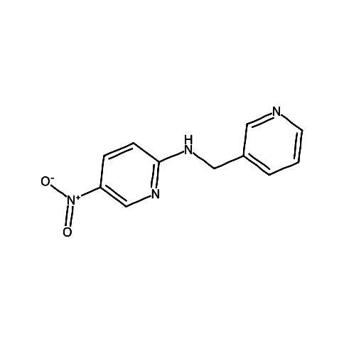 O=[N+]([O-])c1ccc(NCc2cccnc2)nc1